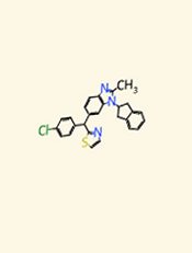 Cc1nc2ccc(C(c3ccc(Cl)cc3)c3nccs3)cc2n1C1Cc2ccccc2C1